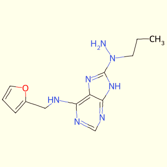 CCCN(N)c1nc2c(NCc3ccco3)ncnc2[nH]1